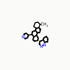 CC1CCCc2c1ccc1c2cc(-c2ccncc2)c2ccccc21.c1ccc2nnccc2c1